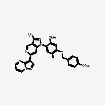 COc1ccc(COc2cc(OC)c(-n3nc(C)c4cnc(-c5cnn6cccnc56)cc43)cc2F)cc1